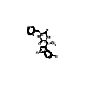 CCn1cc([C@@H](C)[C@H]2NC(=O)[C@@H](Cc3ccccn3)NC2=O)c2cc(Cl)ccc21